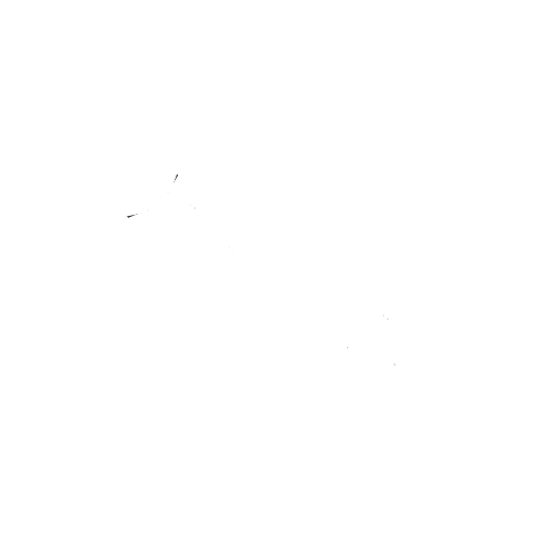 O=C(NCc1cc(-c2cnc(C(F)(F)F)nc2)ccc1F)[C@@H]1C[C@@H]2C[C@@H]2N1S(=O)(=O)c1ccc(F)cc1